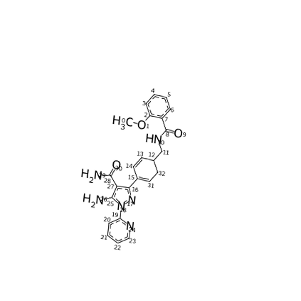 COc1ccccc1C(=O)NCC1C=CC(c2nn(-c3ccccn3)c(N)c2C(N)=O)=CC1